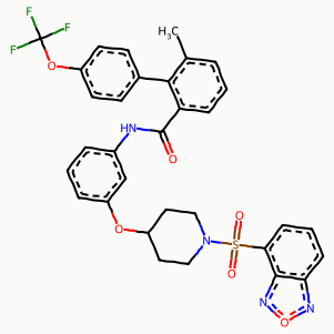 Cc1cccc(C(=O)Nc2cccc(OC3CCN(S(=O)(=O)c4cccc5nonc45)CC3)c2)c1-c1ccc(OC(F)(F)F)cc1